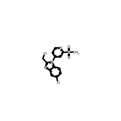 CS(=O)(=O)c1cc(-n2c(CCl)nc3cc(Cl)ccc32)ccn1